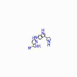 N#Cc1c[nH]c2nc(Nc3ccc4c(C5CCNC5)c[nH]c4c3)ccc12